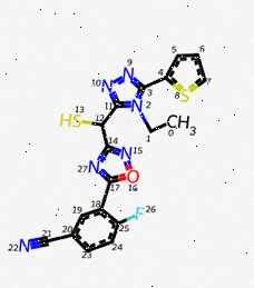 CCn1c(-c2cccs2)nnc1C(S)c1noc(-c2cc(C#N)ccc2F)n1